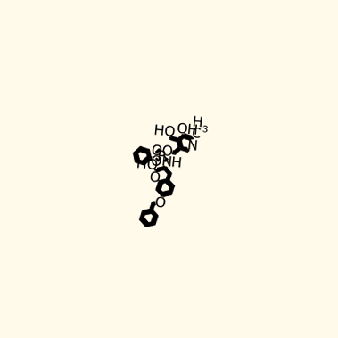 Cc1ncc(COP(=O)(NC(Cc2ccc(OCc3ccccc3)cc2)C(=O)O)Oc2ccccc2)c(CO)c1O